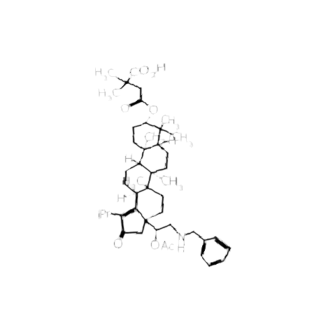 CC(=O)O[C@H](CNCc1ccccc1)[C@@]12CC[C@]3(C)[C@H](CC[C@@H]4[C@@]5(C)CC[C@H](OC(=O)CC(C)(C)C(=O)O)C(C)(C)[C@@H]5CC[C@]43C)C1=C(C(C)C)C(=O)C2